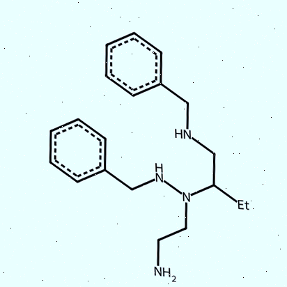 CCC(CNCc1ccccc1)N(CCN)NCc1ccccc1